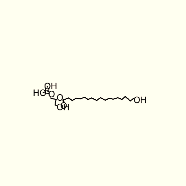 O=C(CCCCCCCCCCCCCCCCCO)OC(CO)COB(O)O